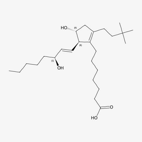 CCCCC[C@H](O)C=C[C@@H]1C(CCCCCCC(=O)O)=C(CCC(C)(C)C)C[C@H]1O